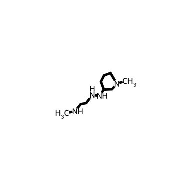 CNCCNNC1CCCN(C)C1